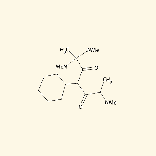 CNC(C)C(=O)C(C(=O)C(C)(NC)NC)C1CCCCC1